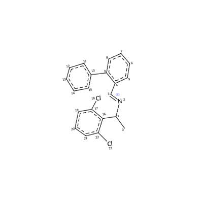 CC(/N=C/c1ccccc1-c1ccccc1)c1c(Cl)cccc1Cl